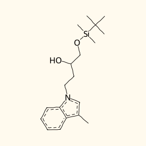 Cc1cn(CCC(O)CO[Si](C)(C)C(C)(C)C)c2ccccc12